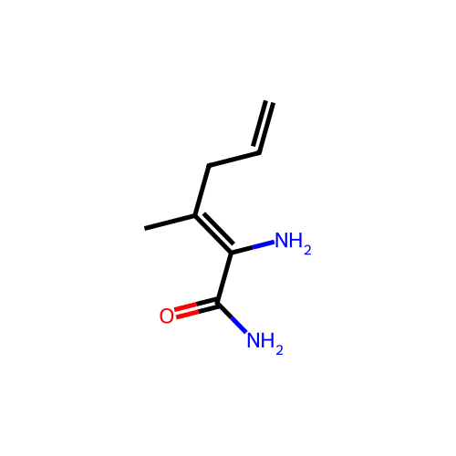 C=CCC(C)=C(N)C(N)=O